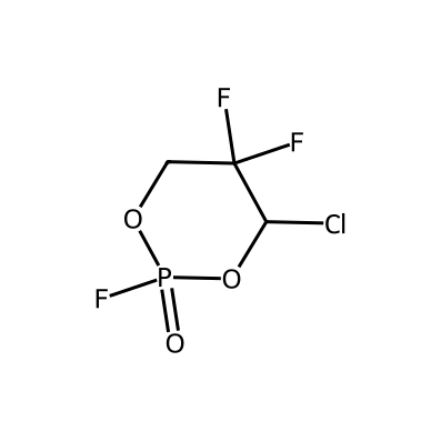 O=P1(F)OCC(F)(F)C(Cl)O1